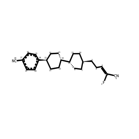 N#CC(F)=CCC[C@H]1CC[C@H]([C@H]2CC[C@H](c3ccc(C#N)cc3)CC2)CC1